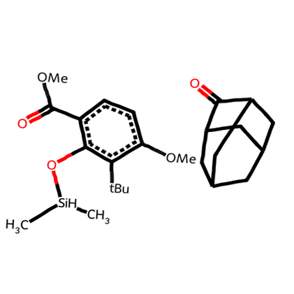 COC(=O)c1ccc(OC)c(C(C)(C)C)c1O[SiH](C)C.O=C1C2CC3CC(C2)CC1C3